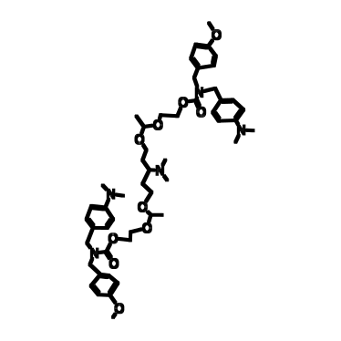 COc1ccc(CN(Cc2ccc(N(C)C)cc2)C(=O)OCCOC(C)OCCC(CCOC(C)OCCOC(=O)N(Cc2ccc(OC)cc2)Cc2ccc(N(C)C)cc2)N(C)C)cc1